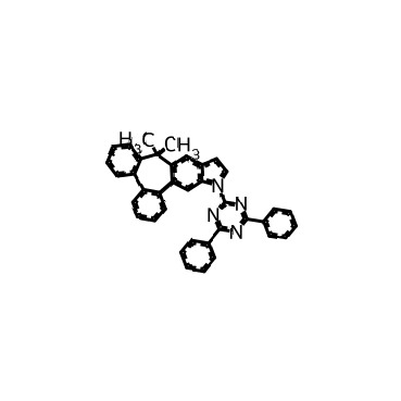 CC1(C)c2ccccc2-c2ccccc2-c2cc3c(ccn3-c3nc(-c4ccccc4)nc(-c4ccccc4)n3)cc21